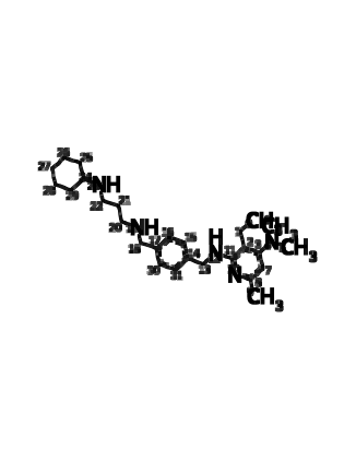 CCc1c(N(C)C)cc(C)nc1NCc1ccc(CNCCCNC2CCCCC2)cc1